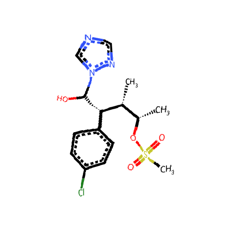 C[C@H]([C@H](C)OS(C)(=O)=O)[C@H](c1ccc(Cl)cc1)C(O)n1cncn1